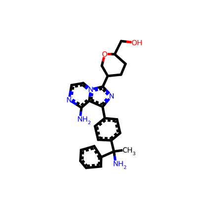 CC(N)(c1ccccc1)c1ccc(-c2nc(C3CCC(CO)OC3)n3ccnc(N)c23)cc1